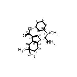 CN(CN)[C@@H]1CCCC[C@H]1c1sc2c(c1C(=O)O)CC(C)(C)CC2